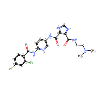 CN(C)CCNC(=O)c1nc[nH]c1C(=O)Nc1ccc(NC(=O)c2ccc(F)cc2Cl)nc1